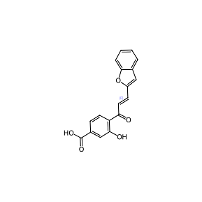 O=C(O)c1ccc(C(=O)/C=C/c2cc3ccccc3o2)c(O)c1